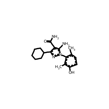 Cc1ccc(O)c(C)c1-n1nc(C2CCCCC2)c(C(N)=O)c1N